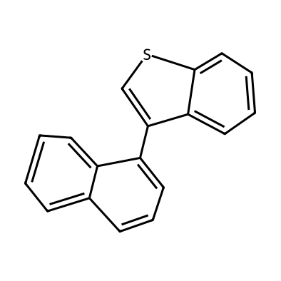 c1ccc2c(-c3csc4ccccc34)cccc2c1